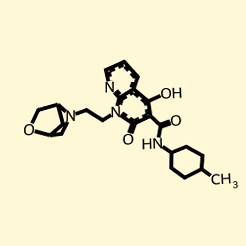 CC1CCC(NC(=O)c2c(O)c3cccnc3n(CCN3CC4CC3CO4)c2=O)CC1